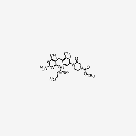 CCC[C@@H](CCO)Nc1nc(N)nc(C)c1Cc1ccc(N2CCN(C(=O)OC(C)(C)C)CC2=O)cc1C